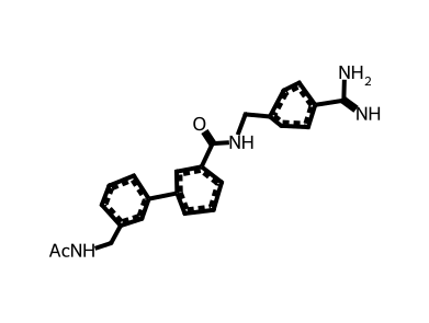 CC(=O)NCc1cccc(-c2cccc(C(=O)NCc3ccc(C(=N)N)cc3)c2)c1